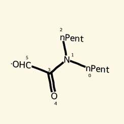 CCCCCN(CCCCC)C(=O)[C]=O